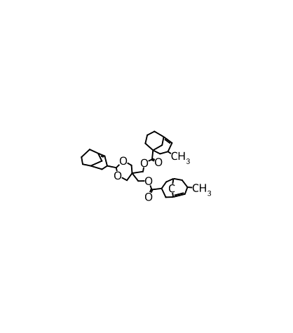 CC1C=C2CC(C1)CC(C(=O)OCC1(COC(=O)C34CCCC(=CC(C)C3)C4)COC(C3C=C4CCCC(C4)C3)OC1)C2